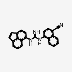 N#Cc1ccc(NC(=N)Nc2ccc3c4c(cccc24)C=C3)c2ccccc12